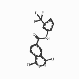 O=C(Nc1cccc(C(F)(F)F)c1)c1ccc2c(Cl)nnc(Cl)c2c1